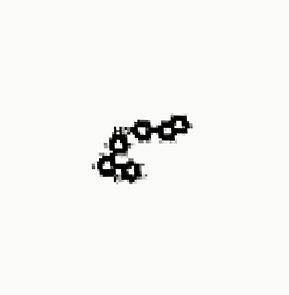 c1ccc2cc(-c3ccc(Nc4ccc(-c5cccc6oc7ccccc7c56)cc4)cc3)ccc2c1